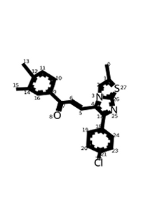 Cc1cn2c(C=CC(=O)c3ccc(C)c(C)c3)c(-c3ccc(Cl)cc3)nc2s1